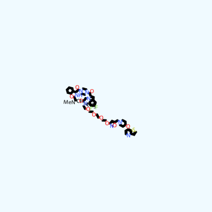 CN[C@@H](C)C(=O)NC(C(=O)N1CCN(C(=O)c2cc3cc(F)c(F)cc3n2CC(=O)N(C)CCOCCOCCOCCOc2cc(CN3CCC(Oc4ccnc5ccsc45)CC3)on2)CC1)C1CCCCC1